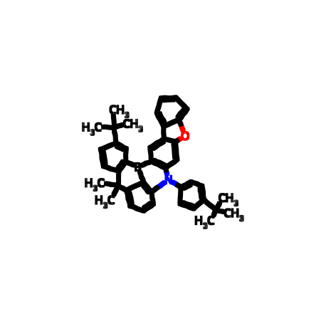 CC(C)(C)c1ccc(N2c3cc4oc5ccccc5c4cc3B3c4cc(C(C)(C)C)ccc4C(C)(C)c4cccc2c43)cc1